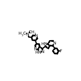 CN(C)Cc1cncc(-c2cnc3[nH]nc(-c4cc5c(-c6cccc(F)c6)nccc5[nH]4)c3c2)c1